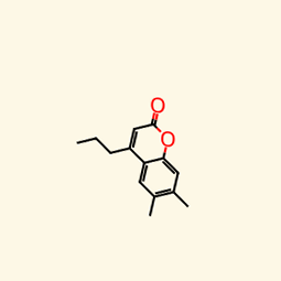 CCCc1cc(=O)oc2cc(C)c(C)cc12